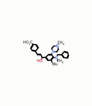 CN1CCN(c2cc(C(O)/C=C/c3ccc(C(=O)O)cc3)cc(C(C)(C)C)c2N(C)Cc2ccccc2)CC1